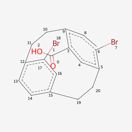 O=C(O)c1cc2c(Br)cc1CCc1ccc(cc1Br)CC2